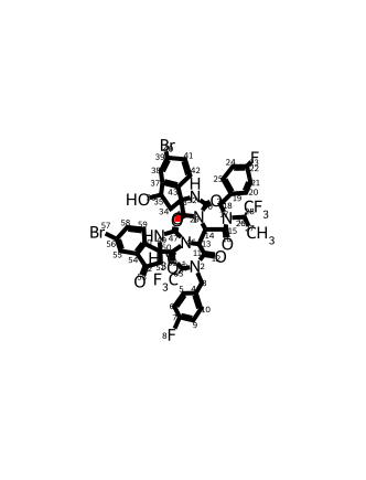 C[C@H](N(Cc1ccc(F)cc1)C(=O)C(C(C(=O)N(Cc1ccc(F)cc1)[C@@H](C)C(F)(F)F)N1C(=O)NC2(CC(O)c3cc(Br)ccc32)C1=O)N1C(=O)NC2(CC(=O)c3cc(Br)ccc32)C1=O)C(F)(F)F